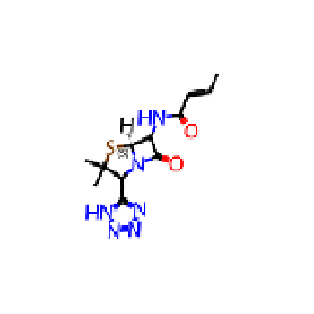 CC=CC(=O)NC1C(=O)N2C(c3nnn[nH]3)C(C)(C)S[C@@H]12